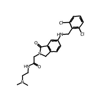 CN(C)CCNC(=O)CN1Cc2ccc(NCc3c(Cl)cccc3Cl)cc2C1=O